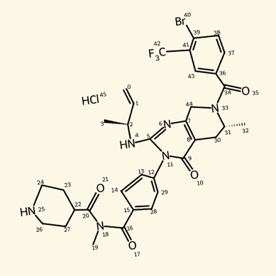 C=C[C@H](C)Nc1nc2c(c(=O)n1-c1ccc(C(=O)N(C)C(=O)C3CCNCC3)cc1)C[C@@H](C)N(C(=O)c1ccc(Br)c(C(F)(F)F)c1)C2.Cl